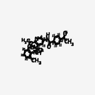 COc1ncc(NC(=O)c2ccc(C(C)=O)cc2)cc1S(=O)(=O)Nc1c(C)cccc1C